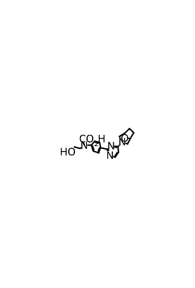 O=C(O)N(CCO)c1ccc(-c2nccc(N3CC4CCC(C3)O4)n2)cc1